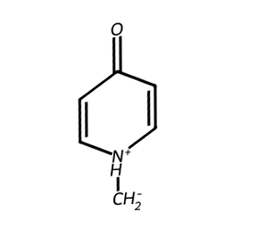 [CH2-][NH+]1C=CC(=O)C=C1